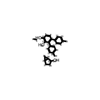 CC.Cc1ccc(-c2ccc(O)c(O)c2-c2ccc(C)cc2)cc1.OC1CCC2CC12